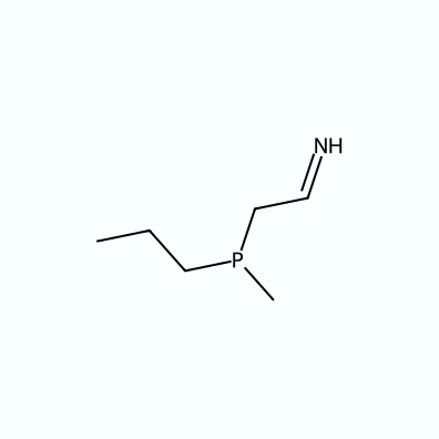 CCCP(C)CC=N